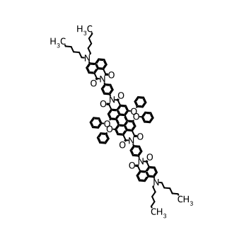 CCCCCCN(CCCCCC)c1ccc2c3c(cccc13)C(=O)N(c1ccc(N3C(=O)c4cc(Oc5ccccc5)c5c6c(Oc7ccccc7)cc7c8c(cc(Oc9ccccc9)c(c9c(Oc%10ccccc%10)cc(c4c59)C3=O)c86)C(=O)N(c3ccc(N4C(=O)c5cccc6c(N(CCCCCC)CCCCCC)ccc(c56)C4=O)cc3)C7=O)cc1)C2=O